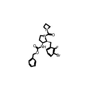 O=C(N[C@H]1CCN(C(=O)N2CCC2)[C@H]1Cc1cccc(Br)c1F)OCc1ccccc1